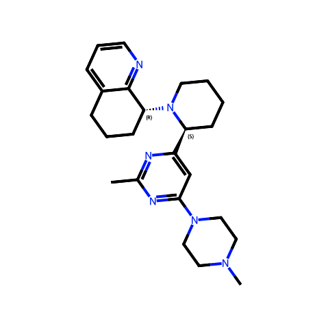 Cc1nc([C@@H]2CCCCN2[C@@H]2CCCc3cccnc32)cc(N2CCN(C)CC2)n1